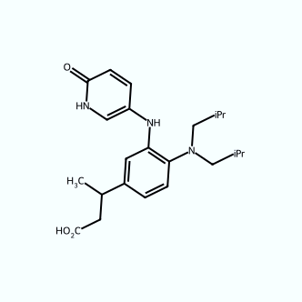 CC(C)CN(CC(C)C)c1ccc(C(C)CC(=O)O)cc1Nc1ccc(=O)[nH]c1